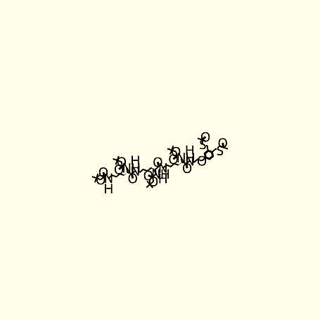 CC(=O)SCc1ccc(OCCNC(=O)[C@H](CCCCNC(=O)[C@H](CCCCNC(=O)[C@H](CCCCNC(=O)OC(C)(C)C)NC(=O)OC(C)(C)C)NC(=O)OC(C)(C)C)NC(=O)OC(C)(C)C)cc1CSC(C)=O